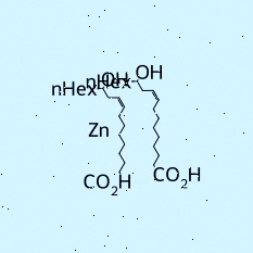 CCCCCC[C@@H](O)C/C=C\CCCCCCCC(=O)O.CCCCCC[C@@H](O)C/C=C\CCCCCCCC(=O)O.[Zn]